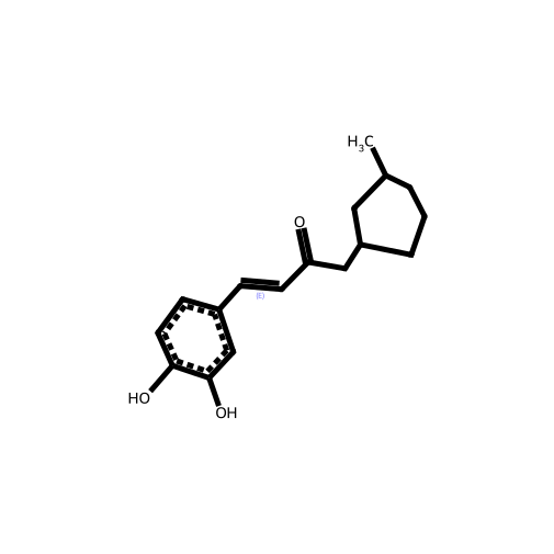 CC1CCCC(CC(=O)/C=C/c2ccc(O)c(O)c2)C1